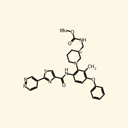 Cc1c(Oc2ccccc2)ccc(NC(=O)c2csc(-c3ccnnc3)n2)c1N1CCC[C@@H](CNC(=O)OC(C)(C)C)C1